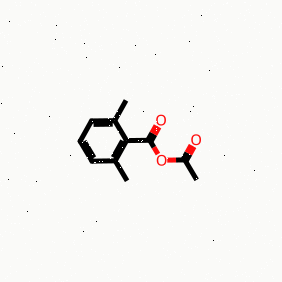 CC(=O)OC(=O)c1c(C)cccc1C